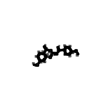 C=C(O[PH](=O)OC(=C)c1ccc(OC)cc1)c1ccc(OC)cc1